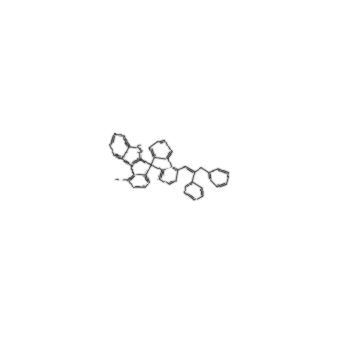 Cc1cccc2c1-c1c(sc3ccccc13)C21c2ccccc2-c2c(/C=C(/Cc3ccccc3)c3ccccc3)cccc21